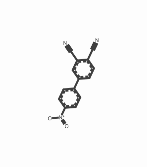 N#Cc1ccc(-c2ccc([N+](=O)[O-])cc2)cc1C#N